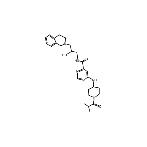 CC(C)C(=O)N1CCC(Nc2cc(C(=O)NCC(O)CN3CCc4ccccc4C3)ncn2)CC1